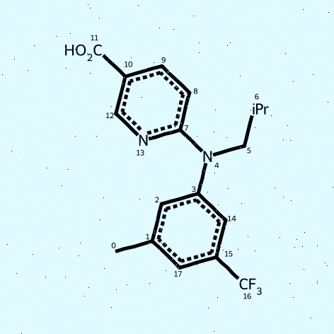 Cc1cc(N(CC(C)C)c2ccc(C(=O)O)cn2)cc(C(F)(F)F)c1